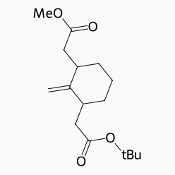 C=C1C(CC(=O)OC)CCCC1CC(=O)OC(C)(C)C